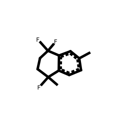 Cc1ccc2c(c1)C(F)(F)CCC2(C)F